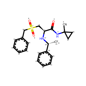 N#CC1(NC(=O)[C@H](CS(=O)(=O)Cc2ccccc2)N[C@@H](c2ccccc2)C(F)(F)F)CC1